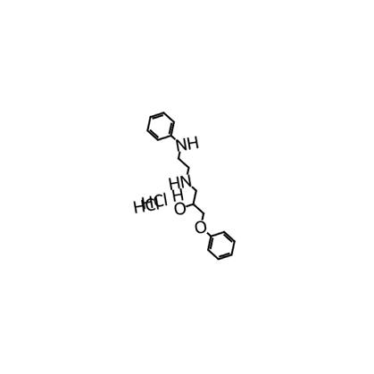 Cl.Cl.OC(CNCCNc1ccccc1)COc1ccccc1